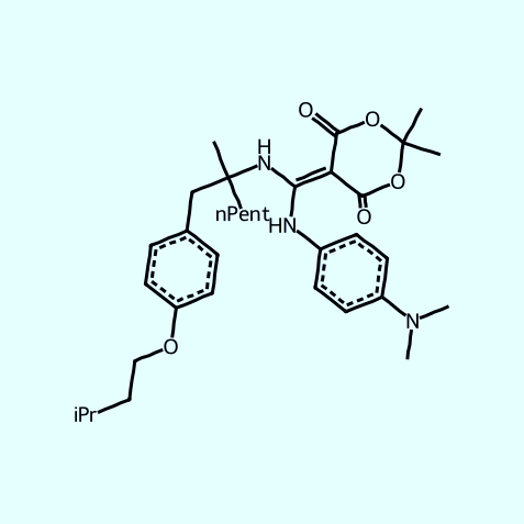 CCCCCC(C)(Cc1ccc(OCCC(C)C)cc1)NC(Nc1ccc(N(C)C)cc1)=C1C(=O)OC(C)(C)OC1=O